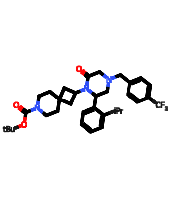 CC(C)c1ccccc1C1CN(Cc2ccc(C(F)(F)F)cc2)CC(=O)N1C1CC2(CCN(C(=O)OC(C)(C)C)CC2)C1